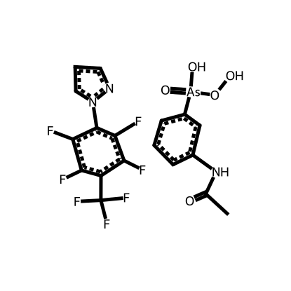 CC(=O)Nc1cccc([As](=O)(O)OO)c1.Fc1c(F)c(C(F)(F)F)c(F)c(F)c1-n1cccn1